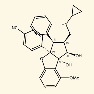 COc1cncc2c1[C@]1(O)[C@H](O)[C@H](CNC3CC3)[C@H](c3ccccc3)[C@]1(c1ccc(C#N)cc1)O2